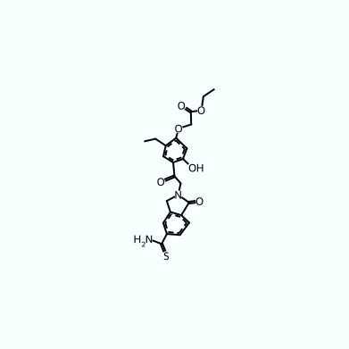 CCOC(=O)COc1cc(O)c(C(=O)CN2Cc3cc(C(N)=S)ccc3C2=O)cc1CC